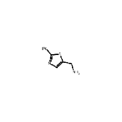 CC(C)c1ncc(CN)s1